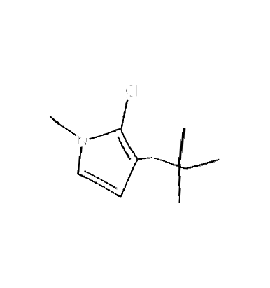 Cn1ccc(C(C)(C)C)c1Cl